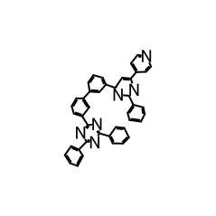 c1ccc(-c2nc(-c3ccncc3)cc(-c3cccc(-c4cccc(-c5nc(-c6ccccc6)nc(-c6ccccc6)n5)c4)c3)n2)cc1